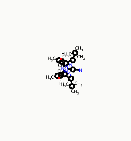 Cc1cc(C)c(-c2ccc3c(c2)c2cc(-c4c(C)cc(C)cc4C)ccc2n3-c2cc(C#N)cc(-n3c4ccc(-c5c(C)cc(C)cc5C)cc4c4cc(-c5c(C)cc(C)cc5C)ccc43)c2-c2nc(-c3ccccc3)nc(-c3ccccc3)n2)c(C)c1